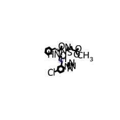 COC(=O)c1cnc(NC(=O)[C@H](Cc2ccccc2)NC(=O)/C=C/c2cc(Cl)ccc2-n2cnnn2)s1